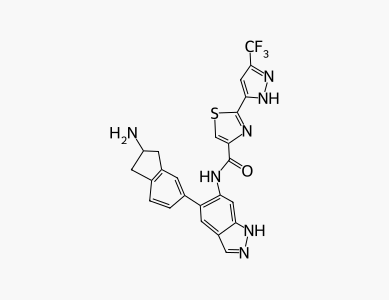 NC1Cc2ccc(-c3cc4cn[nH]c4cc3NC(=O)c3csc(-c4cc(C(F)(F)F)n[nH]4)n3)cc2C1